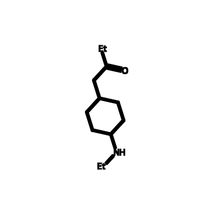 CCNC1CCC(CC(=O)CC)CC1